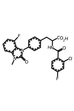 Cn1c(=O)n(-c2ccc(CC(NC(=O)c3ccc(F)cc3Cl)C(=O)O)cc2)c2c(F)cccc21